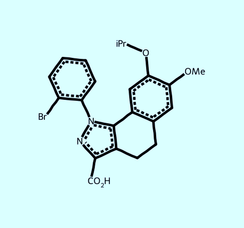 COc1cc2c(cc1OC(C)C)-c1c(c(C(=O)O)nn1-c1ccccc1Br)CC2